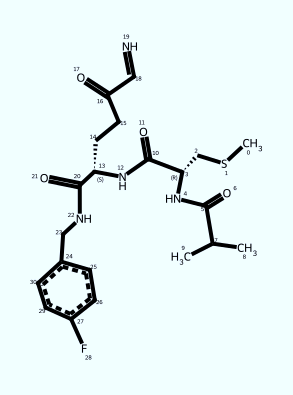 CSC[C@H](NC(=O)C(C)C)C(=O)N[C@@H](CCC(=O)C=N)C(=O)NCc1ccc(F)cc1